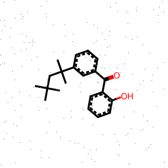 CC(C)(C)CC(C)(C)c1cccc(C(=O)c2ccccc2O)c1